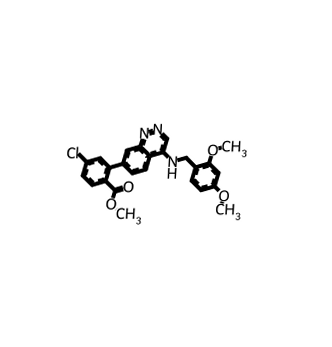 COC(=O)c1ccc(Cl)cc1-c1ccc2c(NCc3ccc(OC)cc3OC)cnnc2c1